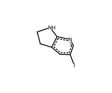 Ic1cnc2c(c1)CCN2